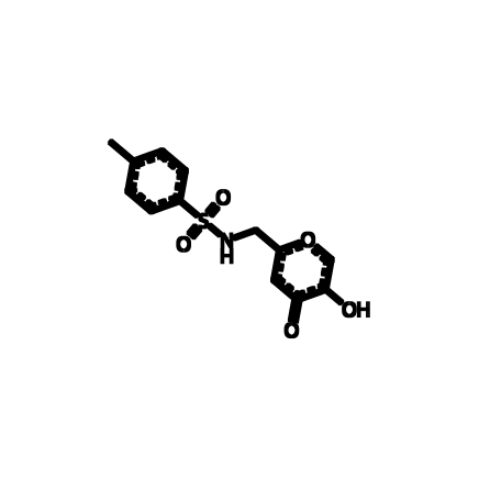 Cc1ccc(S(=O)(=O)NCc2cc(=O)c(O)co2)cc1